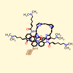 Br.Br.Br.Br.CN(C)CCCC=CC(=O)Nc1ccccc1-c1c(-c2ccccc2NC(=O)C=CCCCN(C)C)c2c(-c3ccccc3NC(=O)C=CCCCN(C)C)c3nc(cc4ccc(cc5nc(cc1n2-c1ccccc1NC(=O)C=CCCCN(C)C)C=C5)[nH]4)C=C3